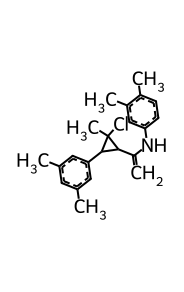 C=C(Nc1ccc(C)c(C)c1)C1C(c2cc(C)cc(C)c2)C1(C)Cl